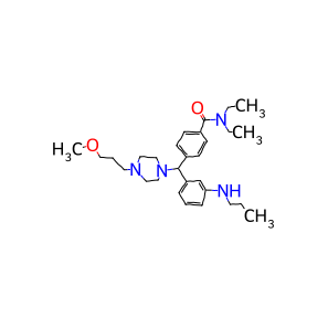 CCCNc1cccc(C(c2ccc(C(=O)N(CC)CC)cc2)N2CCN(CCCOC)CC2)c1